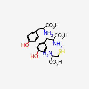 N[C@@H](CS)C(=O)O.N[C@@H](Cc1ccc(O)cc1)C(=O)O.N[C@@H](Cc1ccc(O)cc1)C(=O)O